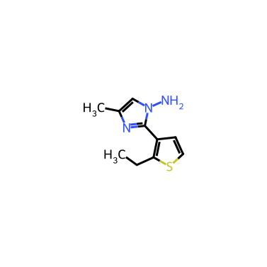 CCc1sccc1-c1nc(C)cn1N